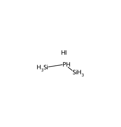 I.[SiH3]P[SiH3]